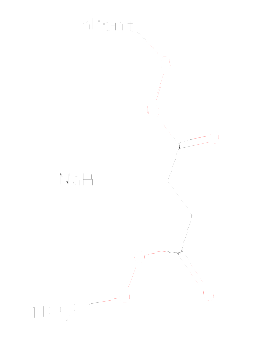 CCCCCOOC(=O)CCC(=O)OOC(=O)O.[NaH]